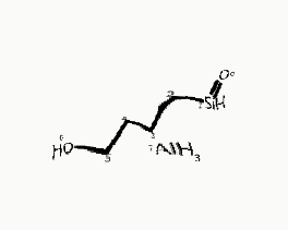 O=[SiH]CCCCO.[AlH3]